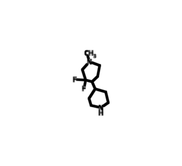 CN1CCC(C2CCNCC2)C(F)(F)C1